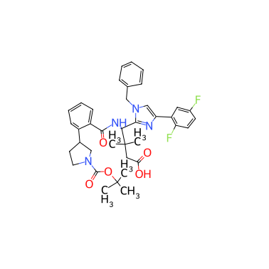 CC(C)(C)OC(=O)N1CCC(c2ccccc2C(=O)N[C@@H](c2nc(-c3cc(F)ccc3F)cn2Cc2ccccc2)C(C)(C)CC(=O)O)C1